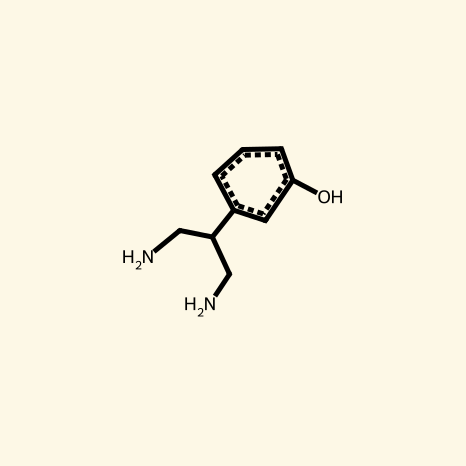 NCC(CN)c1cccc(O)c1